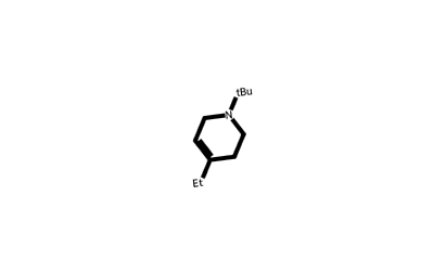 CCC1=CCN(C(C)(C)C)CC1